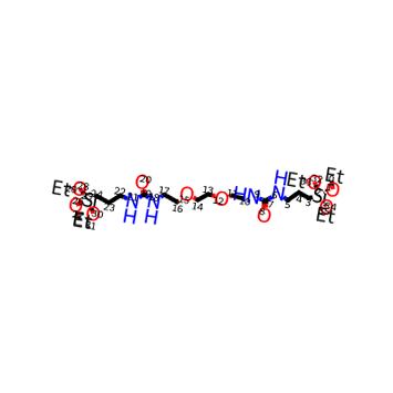 CCO[Si](CCCNC(=O)NCCOCCOCCNC(=O)NCCC[Si](OCC)(OCC)OCC)(OCC)OCC